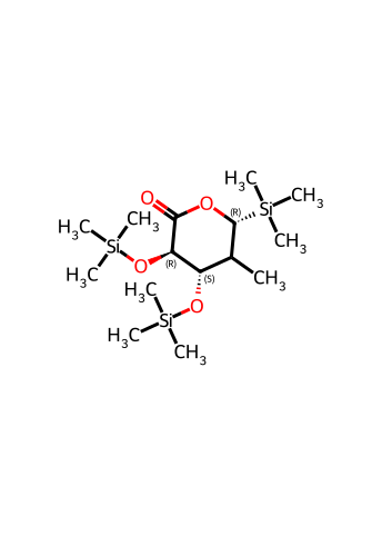 CC1[C@H](O[Si](C)(C)C)[C@@H](O[Si](C)(C)C)C(=O)O[C@@H]1[Si](C)(C)C